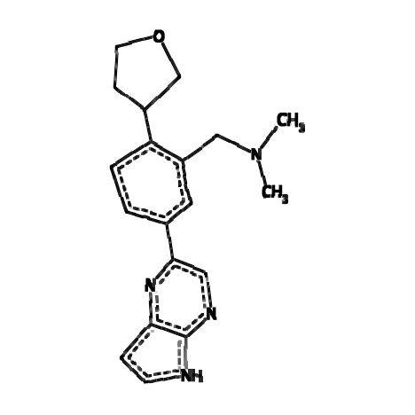 CN(C)Cc1cc(-c2cnc3[nH]ccc3n2)ccc1C1CCOC1